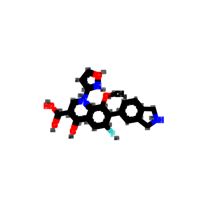 COc1c(-c2ccc3c(c2)CNC3)c(F)cc2c(=O)c(C(=O)O)cn(-c3ccon3)c12